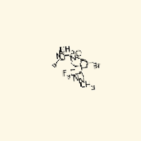 Cn1cc(-c2cc(CBr)cc3c2CCN(Cc2cc(C4CC4)nn2C)C3=O)c(C(F)(F)F)n1